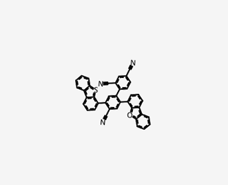 N#Cc1ccc(-c2cc(-c3cccc4c3sc3ccccc34)c(C#N)cc2-c2cccc3c2oc2ccccc23)c(C#N)c1